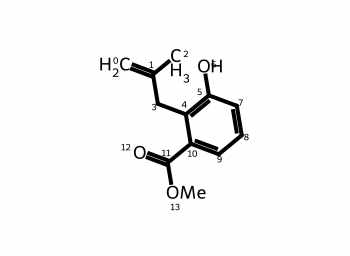 C=C(C)Cc1c(O)cccc1C(=O)OC